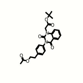 CC(=O)OCCc1ccc(-n2c(=O)c3ccccc3n(CC(=O)OC(C)(C)C)c2=O)cc1